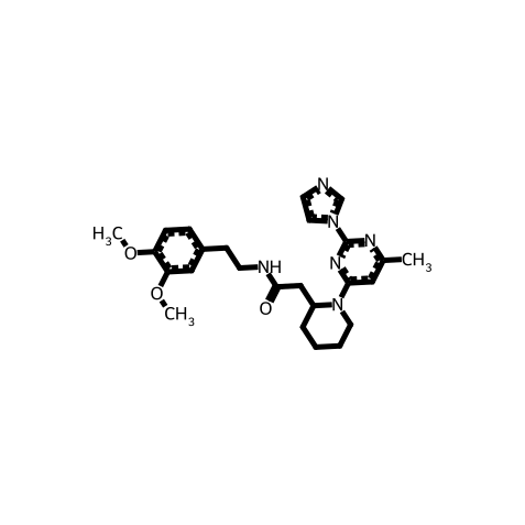 COc1ccc(CCNC(=O)CC2CCCCN2c2cc(C)nc(-n3ccnc3)n2)cc1OC